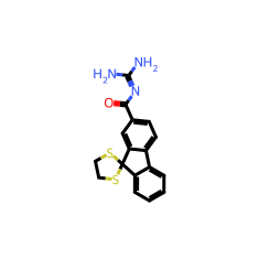 NC(N)=NC(=O)c1ccc2c(c1)C1(SCCS1)c1ccccc1-2